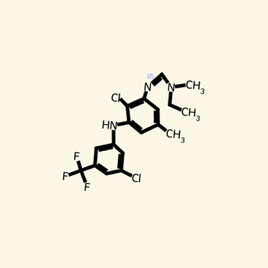 CCN(C)/C=N\c1cc(C)cc(Nc2cc(Cl)cc(C(F)(F)F)c2)c1Cl